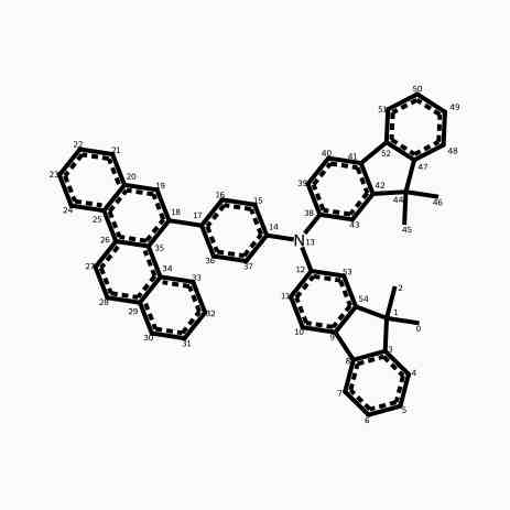 CC1(C)c2ccccc2-c2ccc(N(c3ccc(-c4cc5ccccc5c5ccc6ccccc6c45)cc3)c3ccc4c(c3)C(C)(C)c3ccccc3-4)cc21